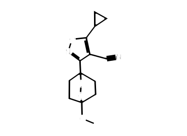 COC12CCC(c3noc(C4CC4)c3C#N)(CC1)CC2